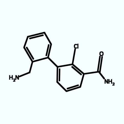 NCc1ccccc1-c1cccc(C(N)=O)c1Cl